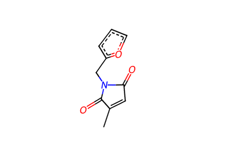 CC1=CC(=O)N(Cc2ccco2)C1=O